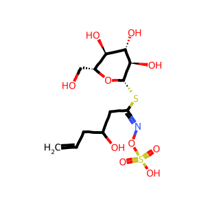 C=CCC(O)C/C(=N\OS(=O)(=O)O)S[C@@H]1O[C@H](CO)[C@@H](O)[C@H](O)[C@H]1O